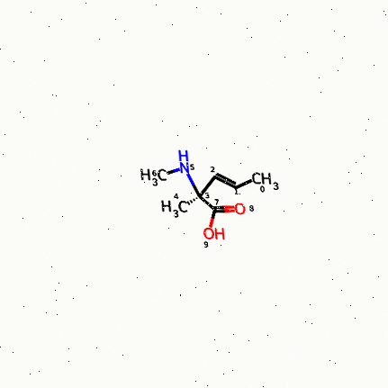 C/C=C/[C@](C)(NC)C(=O)O